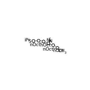 CCCCCCCCC1(CCCCCCCC)c2cc(C)ccc2-c2ccc(-c3ccc(-c4ccc5c(c4)C(CCCCCCCC)(CCCCCCCC)c4cc(-c6ccc(SC(C)C)cc6)ccc4-5)c4nsnc34)cc21